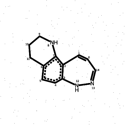 C1=Cc2c(ccc3c2NCCC3)NN=C1